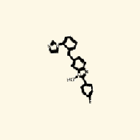 On1c(-c2ccc(F)cc2)nc2ccc(Cc3ccccc3-n3ccnc3)cc21